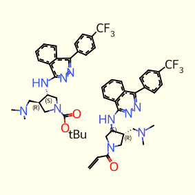 C=CC(=O)N1C[C@@H](CN(C)C)[C@H](Nc2nnc(-c3ccc(C(F)(F)F)cc3)c3ccccc23)C1.CN(C)C[C@@H]1CN(C(=O)OC(C)(C)C)C[C@H]1Nc1nnc(-c2ccc(C(F)(F)F)cc2)c2ccccc12